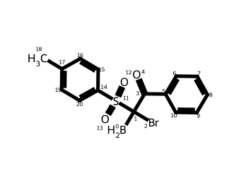 BC(Br)(C(=O)c1ccccc1)S(=O)(=O)c1ccc(C)cc1